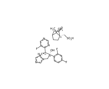 CC1(C)C2CC[C@]1(CS(=O)(=O)O)C(=O)C2.C[C@@H](c1ncncc1F)[C@](O)(Cn1cncn1)c1ccc(F)cc1F